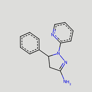 NC1=NN(c2ccccn2)C(c2ccccc2)C1